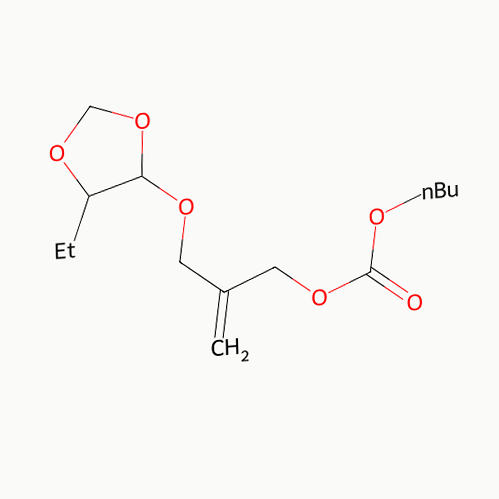 C=C(COC(=O)OCCCC)COC1OCOC1CC